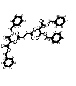 O=C(CCC(=O)OC(C(=O)OCc1ccccc1)C(=O)OCc1ccccc1)OC(C(=O)OCc1ccccc1)C(=O)OCc1ccccc1